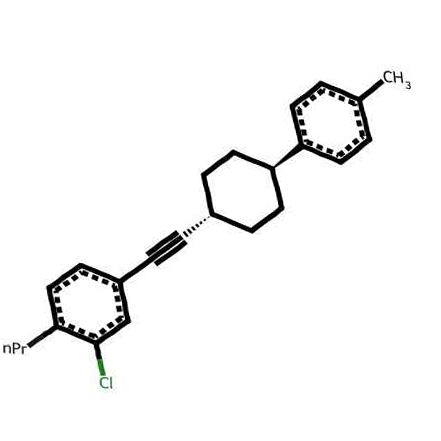 CCCc1ccc(C#C[C@H]2CC[C@H](c3ccc(C)cc3)CC2)cc1Cl